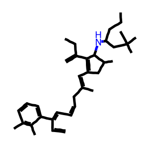 C=C/C(=C\C=C/C/C(C)=C/C1=C(C(=C)CC)C(NC(CCC)CC(C)(C)C)C(C)C1)c1cccc(C)c1C